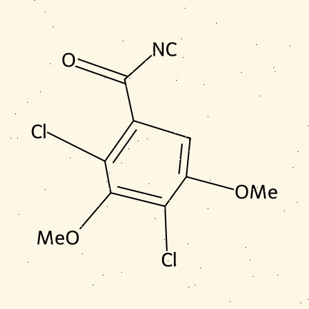 [C-]#[N+]C(=O)c1cc(OC)c(Cl)c(OC)c1Cl